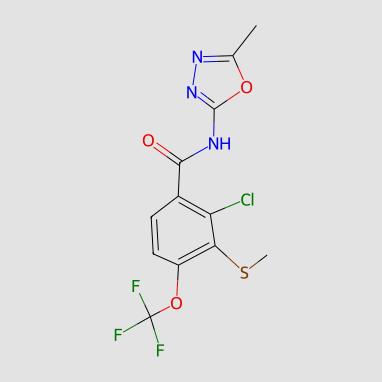 CSc1c(OC(F)(F)F)ccc(C(=O)Nc2nnc(C)o2)c1Cl